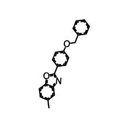 Cc1ccc2oc(-c3ccc(OCc4ccccc4)cc3)nc2c1